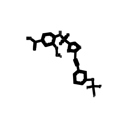 COc1cc(C(=O)O)ccc1NS(=O)(=O)c1csc(C#Cc2cccc(OC(F)(F)F)c2)n1